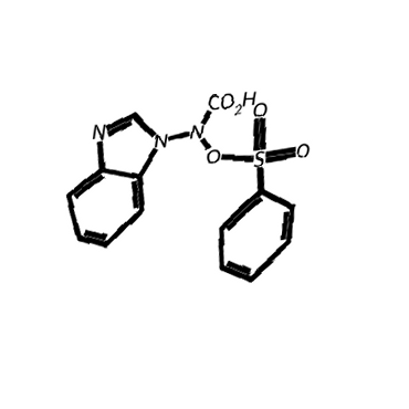 O=C(O)N(OS(=O)(=O)c1ccccc1)n1cnc2ccccc21